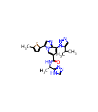 Cc1ccc(-c2cnc3c(-n4nncc4C(C)C)cc(C(=O)N[C@@H](C)c4nnc[nH]4)cn23)s1